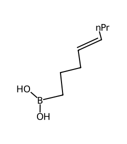 CCCC=CCCCB(O)O